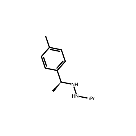 CCCNN[C@@H](C)c1ccc(C)cc1